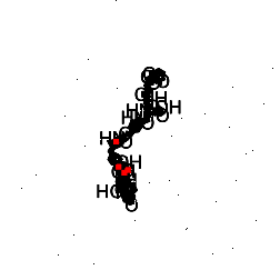 C[C@]12C=CC(=O)C=C1CC[C@@H]1[C@@H]2[C@@H](O)C[C@@]2(C)[C@H]1C[C@H]1O[C@@H](c3ccc(CC45CC(NC(=O)OCc6ccc(NC(=O)[C@H](CCC(=O)O)NC(=O)CNC(=O)CCC(=O)ON7C(=O)CCC7=O)cc6)(C4)C5)cc3)O[C@]12C(=O)CO